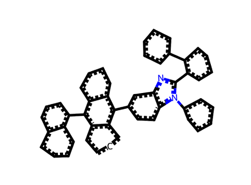 c1ccc(-c2ccccc2-c2nc3cc(-c4c5ccccc5c(-c5cccc6ccccc56)c5ccccc45)ccc3n2-c2ccccc2)cc1